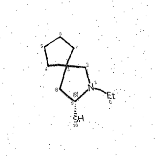 CCN1CC2(CCCC2)C[C@H]1S